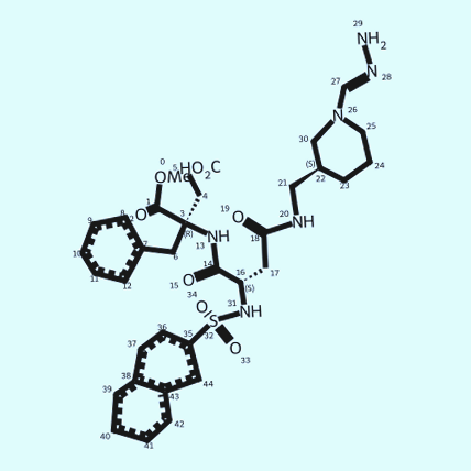 COC(=O)[C@](CC(=O)O)(Cc1ccccc1)NC(=O)[C@H](CC(=O)NC[C@@H]1CCCN(C=NN)C1)NS(=O)(=O)c1ccc2ccccc2c1